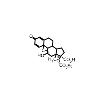 CCOC(=O)O[C@]1(C(=O)O)CCC2C3CCC4=CC(=O)C=CC4(C)C3C(O)CC21C